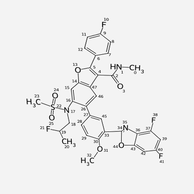 CNC(=O)c1c(-c2ccc(F)cc2)oc2cc(N(CC(C)F)S(C)(=O)=O)c(-c3ccc(OC)c(-c4nc5c(F)cc(F)cc5o4)c3)cc12